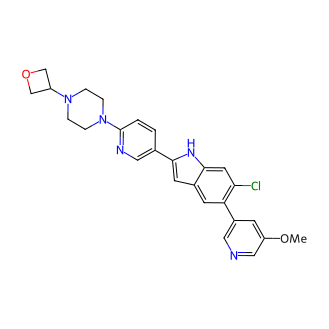 COc1cncc(-c2cc3cc(-c4ccc(N5CCN(C6COC6)CC5)nc4)[nH]c3cc2Cl)c1